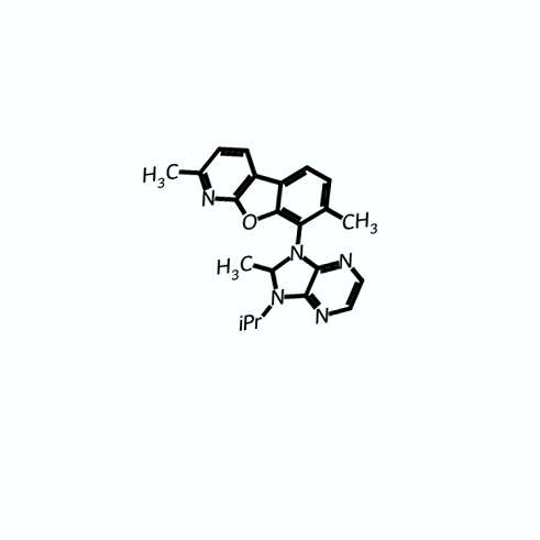 Cc1ccc2c(n1)oc1c(N3c4nccnc4N(C(C)C)C3C)c(C)ccc12